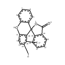 O=C1OC2(c3ccccc3Oc3ccc(I)c(I)c32)c2ccccc21